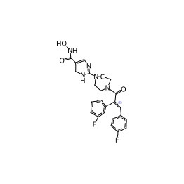 O=C(NO)C1=CN=C(N2CCN(C(=O)/C(=C/c3ccc(F)cc3)c3cccc(F)c3)CC2)NC1